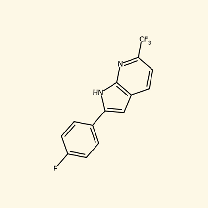 Fc1ccc(-c2cc3ccc(C(F)(F)F)nc3[nH]2)cc1